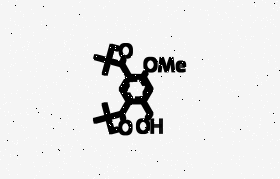 COc1cc(CO)c(C2OCC2(C)C)cc1C1OCC1(C)C